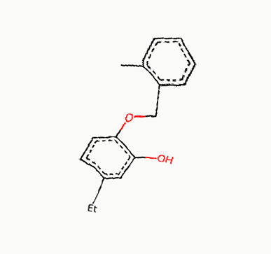 CCc1ccc(OCc2ccccc2C)c(O)c1